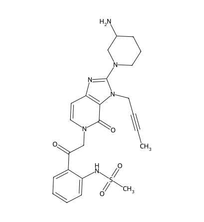 CC#CCn1c(N2CCCC(N)C2)nc2ccn(CC(=O)c3ccccc3NS(C)(=O)=O)c(=O)c21